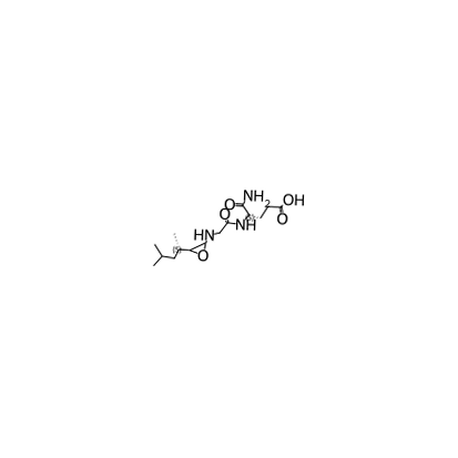 CC(C)C[C@H](C)C1OC1NCC(=O)N[C@@H](CCC(=O)O)C(N)=O